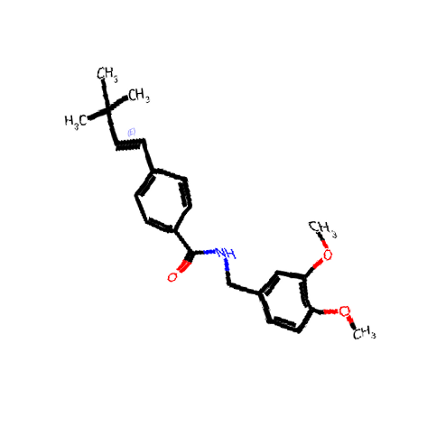 COc1ccc(CNC(=O)c2ccc(/C=C/C(C)(C)C)cc2)cc1OC